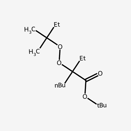 CCCCC(CC)(OOC(C)(C)CC)C(=O)OC(C)(C)C